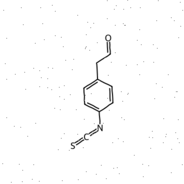 O=CCc1ccc(N=C=S)cc1